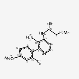 CC[C@H](COC)Nc1ncnc(-c2ccc(OC)cc2Cl)c1N